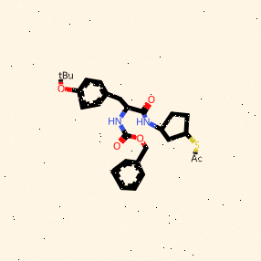 CC(=O)SC1CCC(NC(=O)C(Cc2ccc(OC(C)(C)C)cc2)NC(=O)OCc2ccccc2)C1